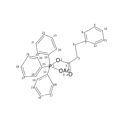 CC(=O)OP(OC(=O)CCc1ccccc1)(c1ccccc1)(c1ccccc1)c1ccccc1